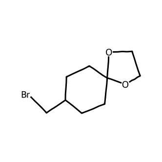 BrCC1CCC2(CC1)OCCO2